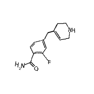 NC(=O)c1ccc(CC2=CCNCC2)cc1F